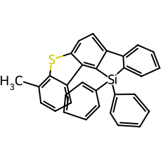 Cc1cccc2c1sc1ccc3c(c12)[Si](c1ccccc1)(c1ccccc1)c1ccccc1-3